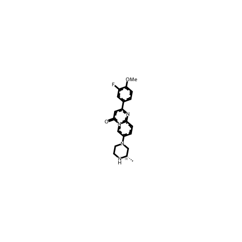 COc1ccc(-c2cc(=O)n3cc(N4CCN[C@@H](C)C4)ccc3n2)cc1F